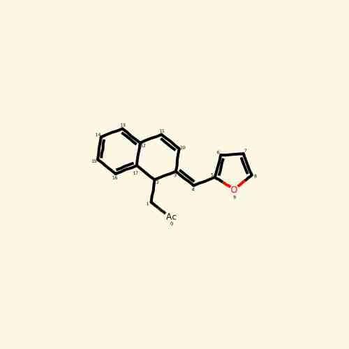 CC(=O)CC1C(=Cc2ccco2)C=Cc2ccccc21